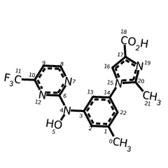 Cc1cc(N(O)c2nccc(C(F)(F)F)n2)cc(-n2cc(C(=O)O)nc2C)c1